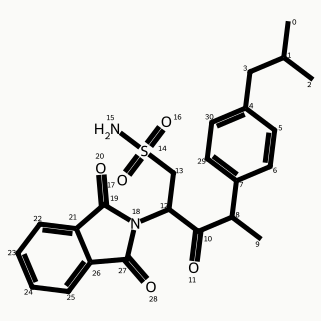 CC(C)Cc1ccc(C(C)C(=O)C(CS(N)(=O)=O)N2C(=O)c3ccccc3C2=O)cc1